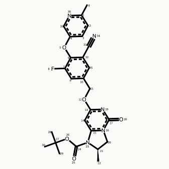 Cc1ccc(Oc2c(F)cc(COc3cc4n(c(=O)n3)C[C@@H](C)N4C(=O)OC(C)(C)C)cc2C#N)cn1